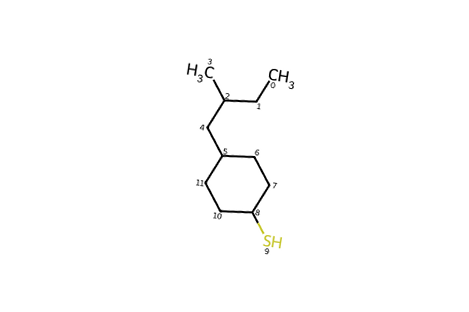 CCC(C)CC1CCC(S)CC1